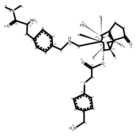 C[C@@H]1CC[C@@]23CCC(=O)[C@H]2[C@]1(C)[C@H](OC(=O)CSc1ccc(CN)cc1)C[C@](C)(CNCc1ccc(CC(N)C(=O)N(C)C)cc1)[C@@H](O)[C@@H]3C